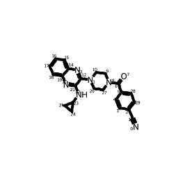 N#Cc1ccc(C(=O)N2CCN(c3nc4ccccc4nc3NC3CC3)CC2)cc1